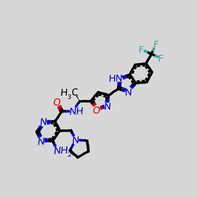 C[C@@H](NC(=O)c1ncnc(N)c1CN1CCCC1)c1cc(-c2nc3ccc(C(F)(F)F)cc3[nH]2)no1